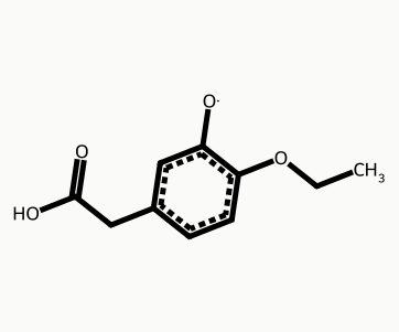 CCOc1ccc(CC(=O)O)cc1[O]